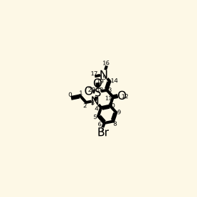 C=CCN1c2cc(Br)ccc2C(=O)C(=CN(C)C)S1(=O)=O